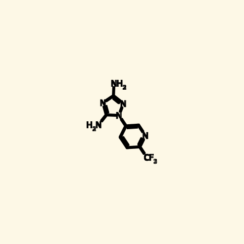 Nc1nc(N)n(-c2ccc(C(F)(F)F)nc2)n1